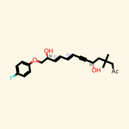 CC(=O)CC(C)(C)C[C@H](O)C#C/C=C/C=C/[C@H](O)COc1ccc(F)cc1